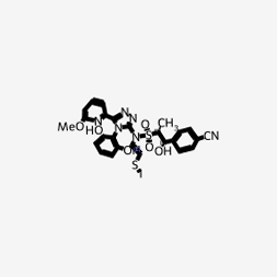 COc1cc#cc(-c2nnc(N(/C=C/SI)S(=O)(=O)[C@H](C)[C@H](O)c3ccc(C#N)cc3)n2-c2c(O)cccc2O)n1